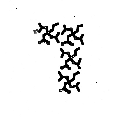 CCCC(CC(=O)[O-])(OC(C)C)OC(C)C.CCCC(CC(=O)[O-])(OC(C)C)OC(C)C.CCCC(CC(=O)[O-])(OC(C)C)OC(C)C.CCCC(CC(=O)[O-])(OC(C)C)OC(C)C.[Ti+4]